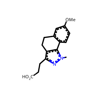 COc1ccc2c(c1)CCc1c(CCC(=O)O)nn(C)c1-2